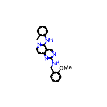 COc1ccccc1CNc1ncc2c(Nc3ccccc3C)nccc2n1